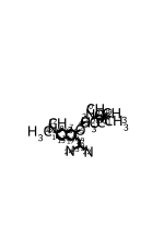 CN(COCOc1cc2cc(N(C)C)ccc2cc1C=C(C#N)C#N)C(=O)OC(C)(C)C